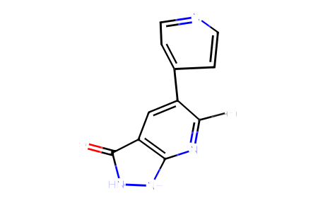 CC(C)c1nc2[nH][nH]c(=O)c2cc1-c1ccncc1